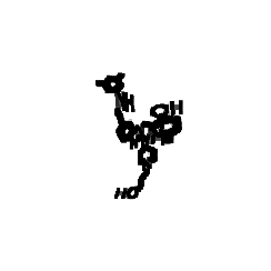 Cc1cc(C)cc(NCc2ccc3nc(NC4CCN(CCCO)CC4)n(Cc4nc(C)ccc4O)c3c2)c1